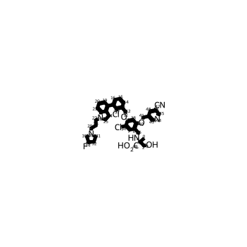 CC(CO)(NCc1cc(Cl)c(OCc2cccc(-c3cccc4c3CCN4CCCN3CCC(F)C3)c2Cl)cc1OCc1cncc(C#N)c1)C(=O)O